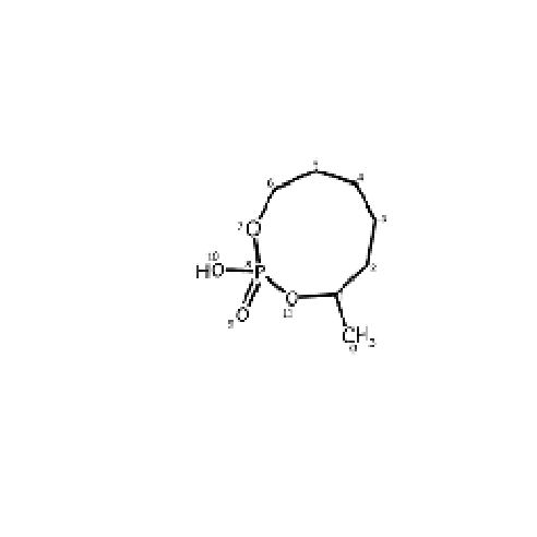 CC1CCCCCOP(=O)(O)O1